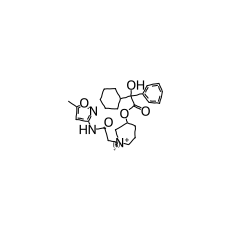 Cc1cc(NC(=O)C[N@+]2(C)CCCC(OC(=O)C(O)(c3ccccc3)C3CCCCC3)C2)no1